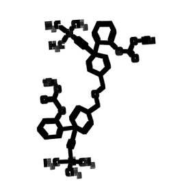 CC(C)(C)OC(=O)Oc1ccccc1C1(C#C[Si](C)(C)C)C=CC(COCC2C=CC(C#C[Si](C)(C)C)(c3ccccc3OC(=O)OC(C)(C)C)C=C2)C=C1